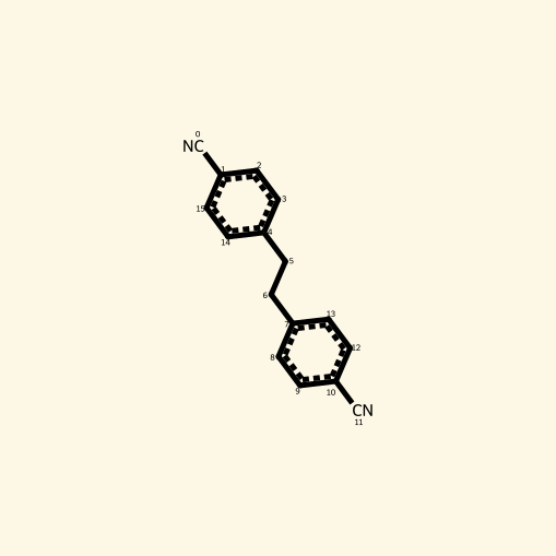 N#Cc1ccc(CCc2ccc(C#N)cc2)cc1